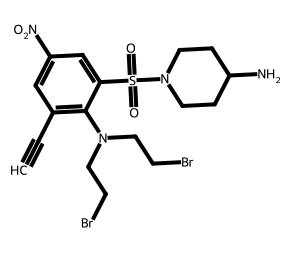 C#Cc1cc([N+](=O)[O-])cc(S(=O)(=O)N2CCC(N)CC2)c1N(CCBr)CCBr